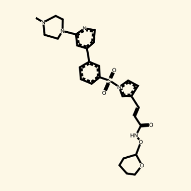 CN1CCN(c2cc(-c3cccc(S(=O)(=O)n4ccc(C=CC(=O)NOC5CCCCO5)c4)c3)ccn2)CC1